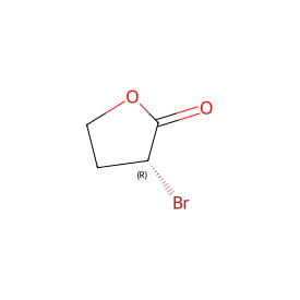 O=C1OCC[C@H]1Br